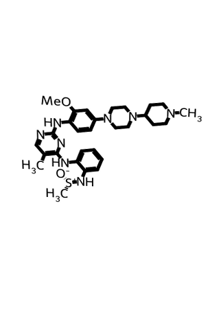 COc1cc(N2CCN(C3CCN(C)CC3)CC2)ccc1Nc1ncc(C)c(Nc2ccccc2N[S+](C)[O-])n1